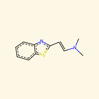 CN(C)C=Cc1nc2ccccc2s1